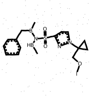 CBN(B(C)Cc1ccccc1)S(=O)(=O)c1ccn(C2(COI)CC2)n1